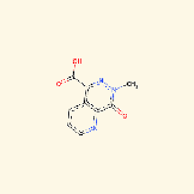 Cn1nc(C(=O)O)c2cccnc2c1=O